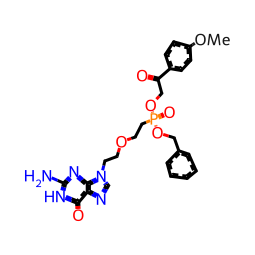 COc1ccc(C(=O)COP(=O)(CCOCCn2cnc3c(=O)[nH]c(N)nc32)OCc2ccccc2)cc1